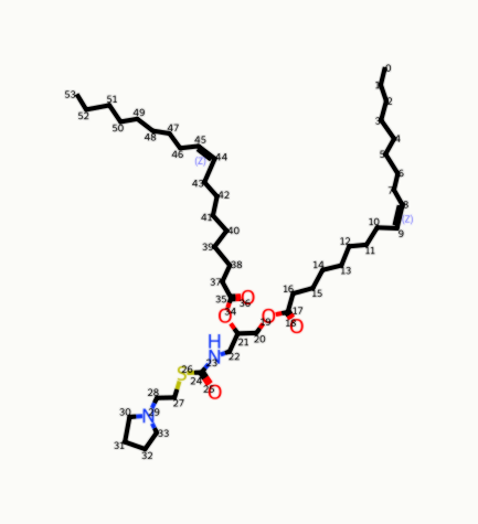 CCCCCCCC/C=C\CCCCCCCC(=O)OCC(CNC(=O)SCCN1CCCC1)OC(=O)CCCCCCC/C=C\CCCCCCCC